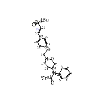 CCC(=O)N(c1ccccc1)C1CCN(CCc2ccc(/C=C/C(=O)C(C)(C)C)cc2)CC1